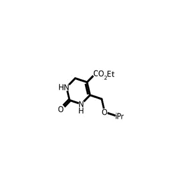 CCOC(=O)C1=C(COC(C)C)NC(=O)NC1